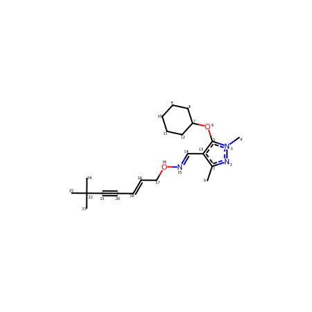 Cc1nn(C)c(OC2CCCCC2)c1C=NOCC=CC#CC(C)(C)C